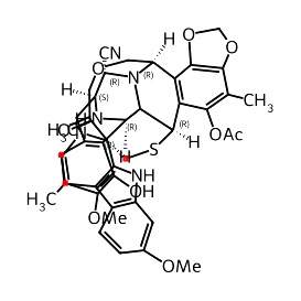 COc1ccc2c3c([nH]c2c1)[C@@]1(CS[C@@H]2c4c(OC(C)=O)c(C)c5c(c4[C@H](COCC1=O)N1C2[C@H]2c4c(cc(C)c(OC)c4O)C[C@@H]([C@@H]1C#N)N2C)OCO5)NCC3